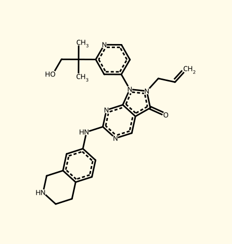 C=CCn1c(=O)c2cnc(Nc3ccc4c(c3)CNCC4)nc2n1-c1ccnc(C(C)(C)CO)c1